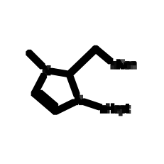 CCCCCCCCCCC1N(C)C=CN1CCCCCCC